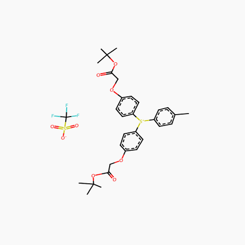 Cc1ccc([S+](c2ccc(OCC(=O)OC(C)(C)C)cc2)c2ccc(OCC(=O)OC(C)(C)C)cc2)cc1.O=S(=O)([O-])C(F)(F)F